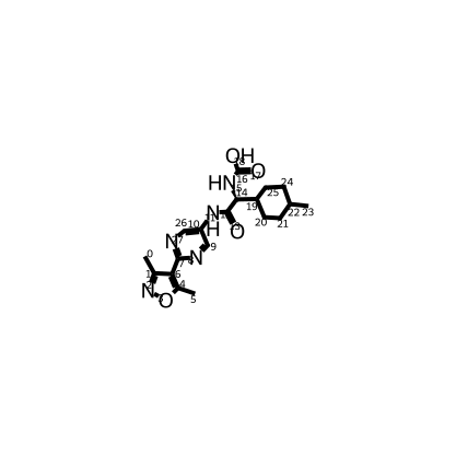 Cc1noc(C)c1-c1ncc(NC(=O)[C@@H](NC(=O)O)C2CCC(C)CC2)cn1